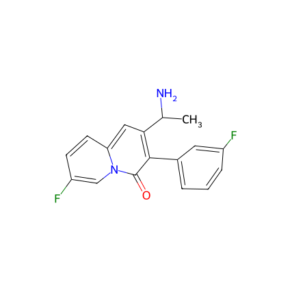 CC(N)c1cc2ccc(F)cn2c(=O)c1-c1cccc(F)c1